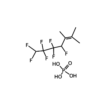 CC(C)=C(C)C(F)C(F)(F)C(F)(F)C(F)F.O=P(O)(O)O